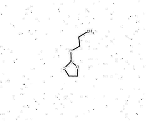 CCCOP1OCCO1